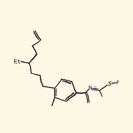 C=CCCC(CC)CCCc1ccc(C(=C)/N=C(\C)SF)cc1C